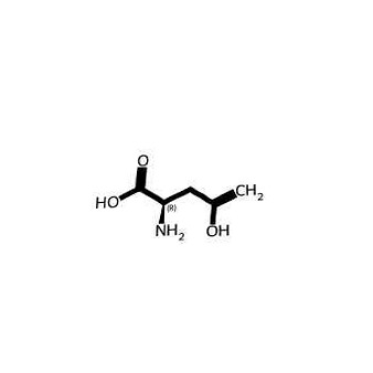 C=C(O)C[C@@H](N)C(=O)O